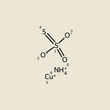 O=S([O-])([O-])=S.[Cu+].[NH4+]